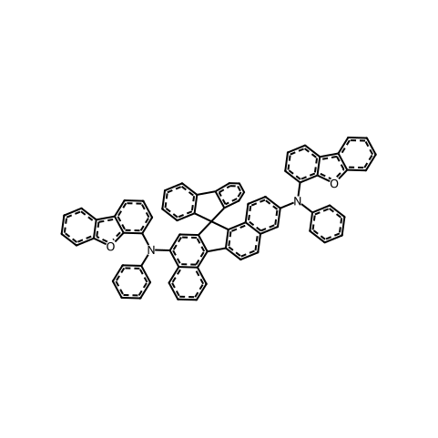 c1ccc(N(c2ccc3c4c(ccc3c2)-c2c(cc(N(c3ccccc3)c3cccc5c3oc3ccccc35)c3ccccc23)C42c3ccccc3-c3ccccc32)c2cccc3c2oc2ccccc23)cc1